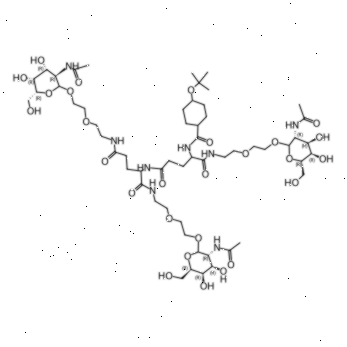 CC(=O)N[C@H]1C(OCCOCCNC(=O)CCC(NC(=O)CCC(NC(=O)C2CCC(OC(C)(C)C)CC2)C(=O)NCCOCCOC2O[C@H](CO)[C@H](O)[C@H](O)[C@H]2NC(C)=O)C(=O)NCCOCCOC2O[C@H](CO)[C@H](O)[C@H](O)[C@H]2NC(C)=O)O[C@H](CO)[C@H](O)[C@@H]1O